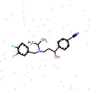 CC(C)N(CCC(O)c1ccc(C#N)cc1)Cc1ccc(F)c(F)c1